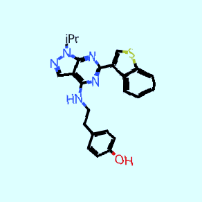 CC(C)n1ncc2c(NCCc3ccc(O)cc3)nc(-c3csc4ccccc34)nc21